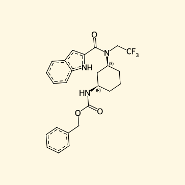 O=C(N[C@@H]1CCC[C@H](N(CC(F)(F)F)C(=O)c2cc3ccccc3[nH]2)C1)OCc1ccccc1